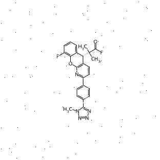 Cn1nnnc1-c1ccc(-c2ccc3c(n2)Oc2c(F)cccc2[C@@H]3C(C)(C)C(=O)F)cc1